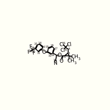 CC1(C)C(CC(Cl)(Cl)Cl)C1C(=O)OC(C#N)c1cccc(Oc2cccc(C(F)(F)F)c2)c1